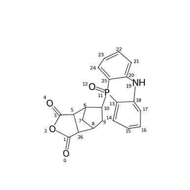 O=C1OC(=O)C2C3CC(CC3P3(=O)c4ccccc4Nc4ccccc43)C12